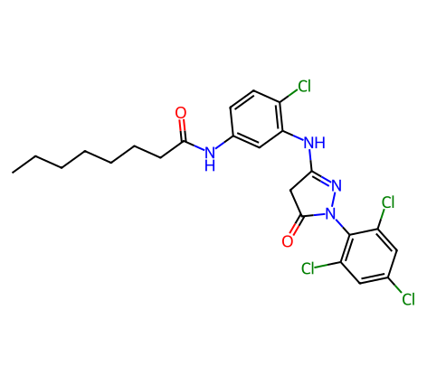 CCCCCCCC(=O)Nc1ccc(Cl)c(NC2=NN(c3c(Cl)cc(Cl)cc3Cl)C(=O)C2)c1